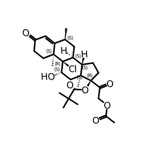 CC(=O)OCC(=O)[C@@]1(OC(=O)C(C)(C)C)CC[C@H]2[C@@H]3C[C@H](C)C4=CC(=O)CC[C@]4(C)[C@@]3(Cl)[C@@H](O)C[C@@]21C